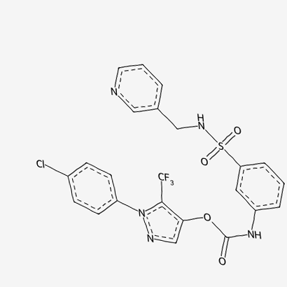 O=C(Nc1cccc(S(=O)(=O)NCc2cccnc2)c1)Oc1cnn(-c2ccc(Cl)cc2)c1C(F)(F)F